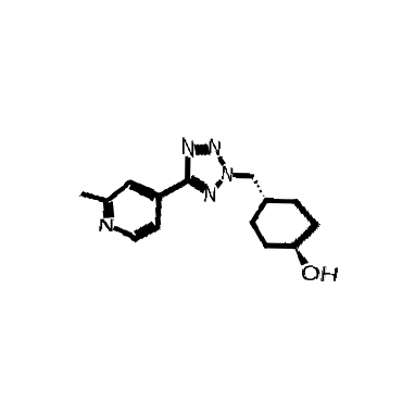 Cc1cc(-c2nnn(C[C@H]3CC[C@H](O)CC3)n2)ccn1